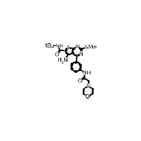 CSc1nc(-c2cccc(NC(=O)CN3CCOCC3)c2)c2c(N)c(C(=O)NC(C)(C)C)sc2n1